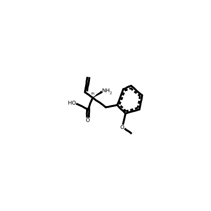 C=C[C@](N)(Cc1ccccc1OC)C(=O)O